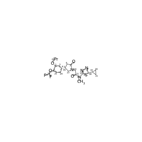 CC(C)Oc1cc([C@@H]2CC(=O)N(CC(=O)N(C)c3nnc(C4CC4)s3)C2)ccc1OC(F)F